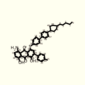 CCCCCC1CCC(c2ccc(-c3ccc(Sc4cc(-c5ccc(C)cc5)c(O)c5c4C(=O)c4c(N)ccc(O)c4C5=O)cc3)cc2)CC1